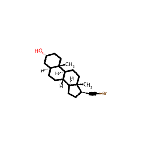 C[C@]12CC[C@@H](O)C[C@@H]1CC[C@@H]1[C@@H]2CC[C@]2(C)[C@@H](C#CBr)CC[C@@H]12